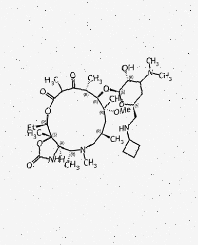 CC[C@H]1OC(=O)C(C)C(=O)[C@H](C)[C@@H](O[C@@H]2O[C@H](CNC3CCC3)CC(N(C)C)[C@H]2O)[C@](C)(OC)C[C@@H](C)CN(C)[C@H](C)[C@H]2NC(=O)O[C@@]21C